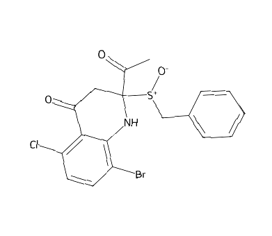 CC(=O)C1([S+]([O-])Cc2ccccc2)CC(=O)c2c(Cl)ccc(Br)c2N1